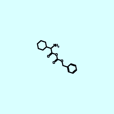 NC(C(=O)OC(=O)OCc1ccccc1)C1CCCCC1